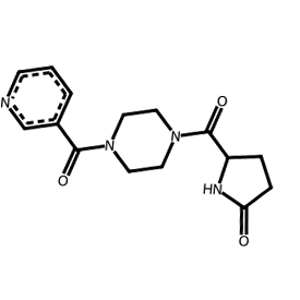 O=C1CCC(C(=O)N2CCN(C(=O)c3cccnc3)CC2)N1